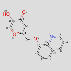 O=c1cc(COc2cccc3cccnc23)occ1O